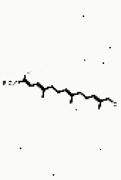 CCOC(=O)/C(=C/C=C(\C)CC/C=C(\C)CC/C=C(\C)CCl)C(C)C